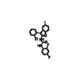 Cc1ccc2oc(NC(=O)Nc3ccc(F)cc3F)c(-c3ccccc3Cl)c2c1